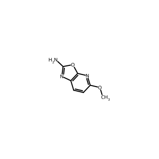 COc1ccc2nc(N)oc2n1